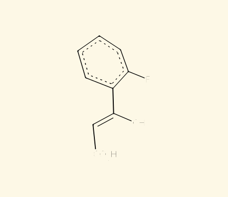 C/C(=C\C(=O)O)c1ccccc1F